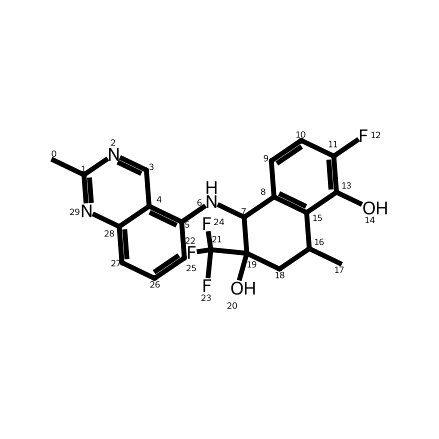 Cc1ncc2c(NC3c4ccc(F)c(O)c4C(C)CC3(O)C(F)(F)F)cccc2n1